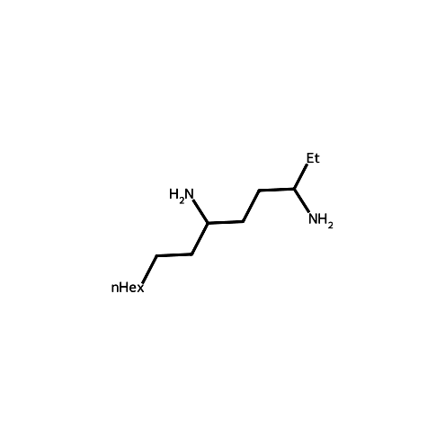 CCCCCCCCC(N)CCC(N)CC